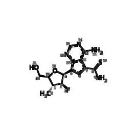 C[C@H]1[C@H](F)[C@H](c2cc(C(N)=S)c3c(N)ncnn23)O[C@@H]1CO